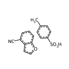 Cc1ccc(S(=O)(=O)O)cc1.N#Cc1cccc2occc12